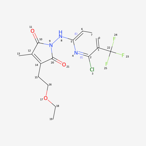 C=C(/C(Cl)=N\C(=C/C)NN1C(=O)C(C)=C(CCOCC)C1=O)C(F)(F)F